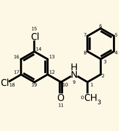 CC(Cc1ccccc1)NC(=O)c1cc(Cl)cc(Cl)c1